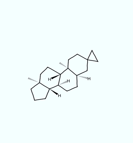 C[C@@]12CCC[C@H]1[C@@H]1CC[C@@H]3CC4(CC4)CC[C@]3(C)[C@H]1CC2